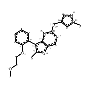 COCCOc1ccccc1-c1c(C)sc2cnc(Nc3cnn(C)c3)nc12